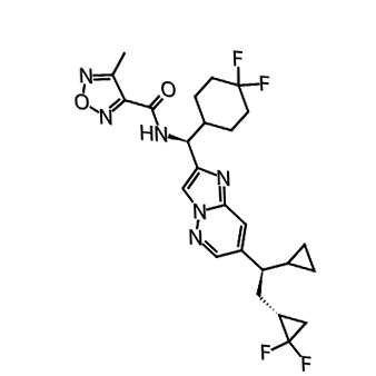 Cc1nonc1C(=O)N[C@H](c1cn2ncc([C@H](C[C@@H]3CC3(F)F)C3CC3)cc2n1)C1CCC(F)(F)CC1